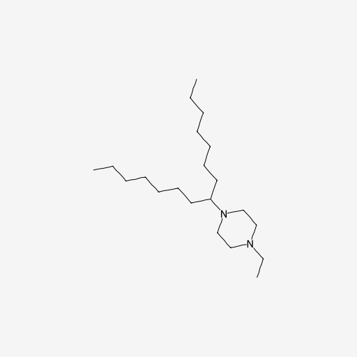 CCCCCCCC(CCCCCCC)N1CCN(CC)CC1